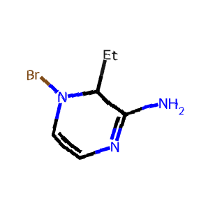 CCC1C(N)=NC=CN1Br